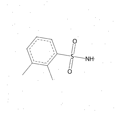 Cc1cccc(S([NH])(=O)=O)c1C